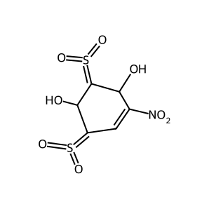 O=[N+]([O-])C1=CC(=S(=O)=O)C(O)C(=S(=O)=O)C1O